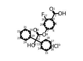 Cl.O=C(O)c1ccc(OC(=O)C(O)(c2ccccc2)c2ccccc2)cc1F